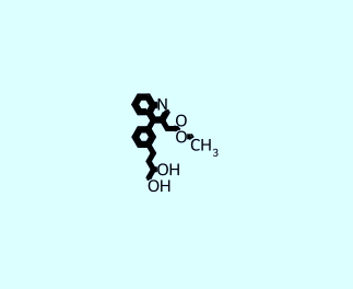 CCOC(=O)Cc1cnc2ccccc2c1-c1cccc(CCC(O)CO)c1